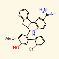 CCc1ccccc1-c1cc(O)c(OC)cc1C1Nc2ccc(C(=N)N)cc2C2c3ccccc3CC12